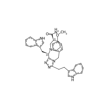 COc1ccc(Cn2c(CCc3c[nH]c4ccccc34)nnc2[C@@H](Cc2c[nH]c3ccccc23)N2CCC[C@H](C(N)=O)C2)cc1